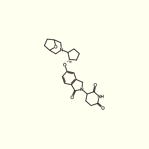 O=C1CCC(N2Cc3cc(O[C@H]4CCCC4N4CC5CCC(C4)O5)ccc3C2=O)C(=O)N1